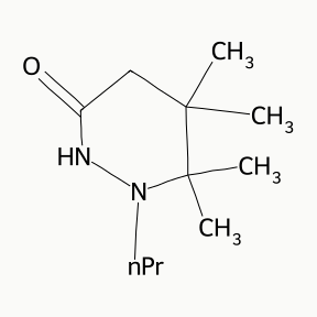 CCCN1NC(=O)CC(C)(C)C1(C)C